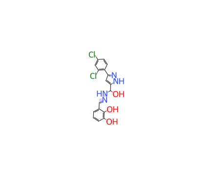 Oc1cccc(/C=N/NC(O)c2cc(-c3ccc(Cl)cc3Cl)n[nH]2)c1O